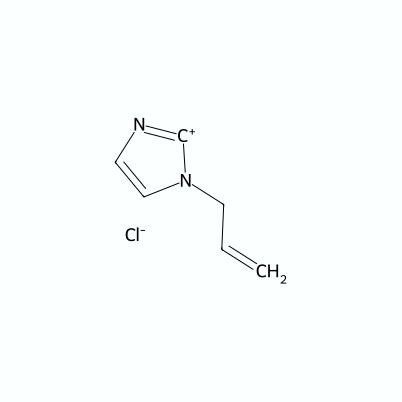 C=CCN1[C+]=NC=C1.[Cl-]